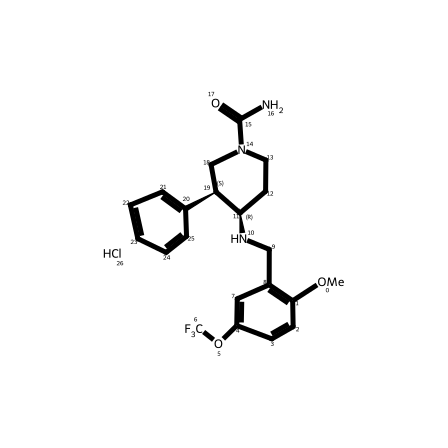 COc1ccc(OC(F)(F)F)cc1CN[C@@H]1CCN(C(N)=O)C[C@@H]1c1ccccc1.Cl